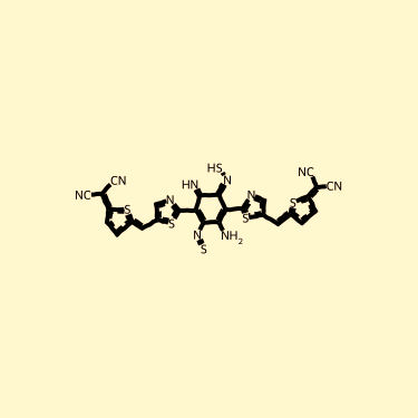 N#CC(C#N)=c1cc/c(=C/c2cnc(C3=C(N=S)C(N)=C(c4ncc(/C=c5/ccc(=C(C#N)C#N)s5)s4)/C(=N/S)C3=N)s2)s1